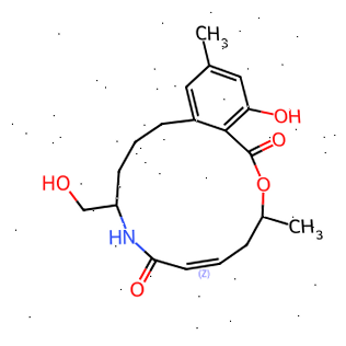 Cc1cc(O)c2c(c1)CCCC(CO)NC(=O)/C=C\CC(C)OC2=O